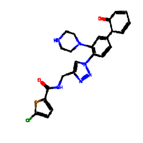 O=C(NCc1cn(-c2ccc(C3C=CC=CC3=O)cc2N2CCNCC2)nn1)c1ccc(Cl)s1